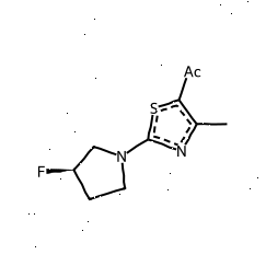 CC(=O)c1sc(N2CC[C@@H](F)C2)nc1C